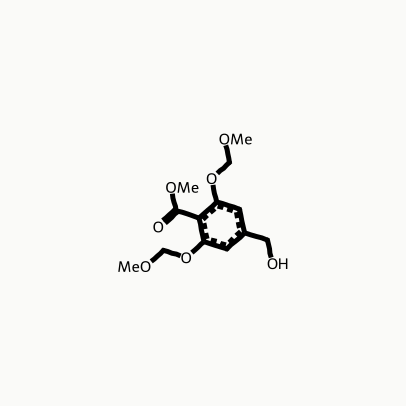 COCOc1cc(CO)cc(OCOC)c1C(=O)OC